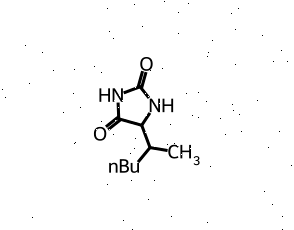 CCCCC(C)C1NC(=O)NC1=O